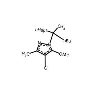 CCCCCCCC(C)(CCCC)n1nc(C)c(Cl)c1OC